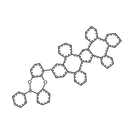 c1ccc(B2Oc3cccc(-c4ccc5c6ccccc6c6cc7c8ccccc8c8ccccc8c8ccccc8c7cc6c6ccccc6c5c4)c3Oc3ccccc32)cc1